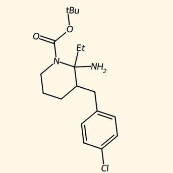 CCC1(N)C(Cc2ccc(Cl)cc2)CCCN1C(=O)OC(C)(C)C